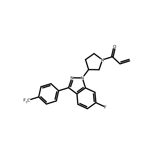 C=CC(=O)N1CCC(n2nc(-c3ccc(C(F)(F)F)cc3)c3ccc(F)cc32)C1